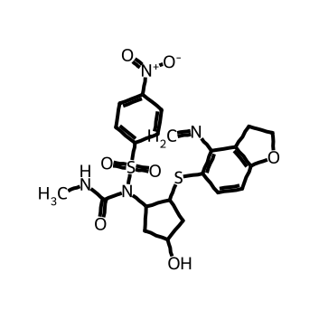 C=Nc1c(SC2CC(O)CC2N(C(=O)NC)S(=O)(=O)c2ccc([N+](=O)[O-])cc2)ccc2c1CCO2